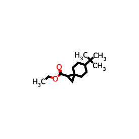 CCOC(=O)C1CC12CCC(C(C)(C)C)CC2